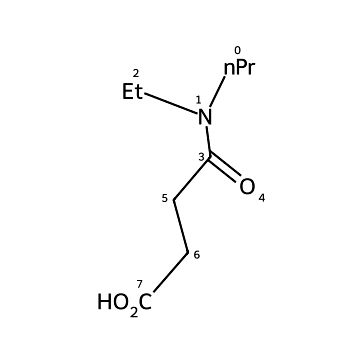 CCCN(CC)C(=O)CCC(=O)O